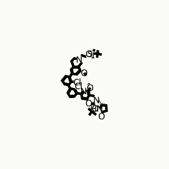 COc1cc(-c2cccc(-c3cccc(-c4ccc(CN(C[C@@H]5CCC(=O)N5)C(=O)OC(C)(C)C)c(OC)n4)c3Cl)c2Cl)cc2c1CN(CCO[Si](C)(C)C(C)(C)C)CC2